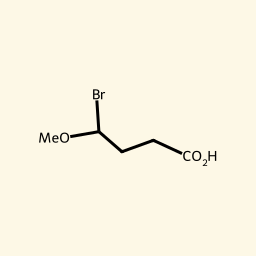 COC(Br)CCC(=O)O